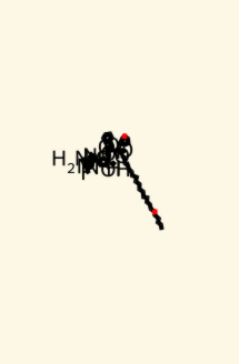 C#C[C@]1(CO[P@](=O)(N[C@@H](Cc2ccccc2)C(=O)OCCCCCCCCCCCCCCCCCCCCCC)Oc2ccccc2)O[C@@H](n2cnc3c(N)nc(F)nc32)C[C@@H]1O